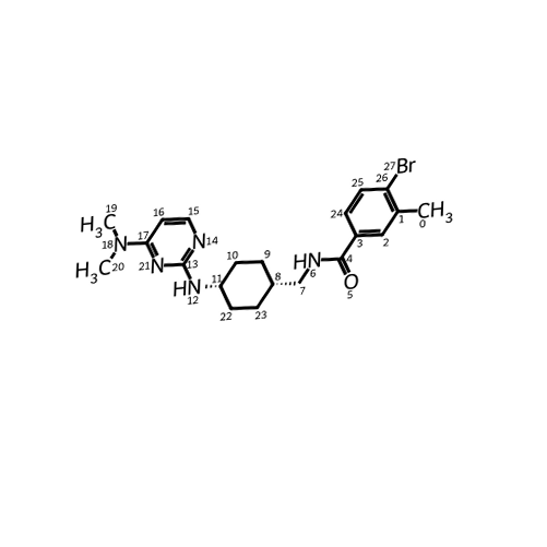 Cc1cc(C(=O)NC[C@H]2CC[C@@H](Nc3nccc(N(C)C)n3)CC2)ccc1Br